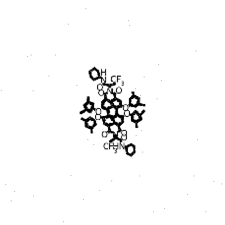 Cc1cc(C)cc(Oc2cc3c4c(cc(Oc5cc(C)cc(C)c5)c5c6c(Oc7cc(C)cc(C)c7)cc7c8c(cc(Oc9cc(C)cc(C)c9)c(c2c45)c86)C(=O)N(C(CC(F)(F)F)C(=O)NC2CCCCC2)C7=O)C(=O)N(C(CC(F)(F)F)C(=O)NC2CCCCC2)C3=O)c1